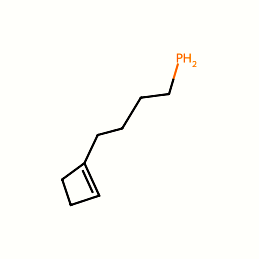 PCCCCC1=CCC1